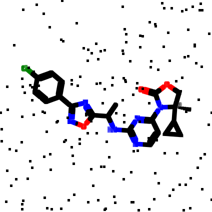 CC(Nc1nccc(N2C(=O)OC[C@@]2(C)C2CC2)n1)c1nc(-c2ccc(Cl)cc2)no1